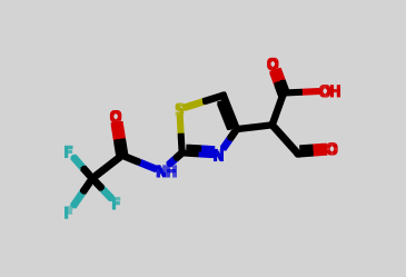 O=CC(C(=O)O)c1csc(NC(=O)C(F)(F)F)n1